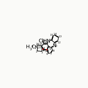 CN1CCN(C2=CC=CC3=Nc4ccccc4NC4=C(Cl)C=CCC234)CC1